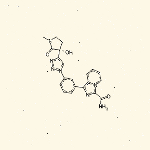 CN1CC[C@@](O)(c2cn(-c3cccc(-c4nc(C(N)=O)n5ccccc45)c3)nn2)C1=O